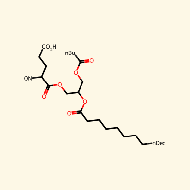 CCCCCCCCCCCCCCCCCC(=O)OC(COC(=O)CCCC)COC(=O)C(CCC(=O)O)N=O